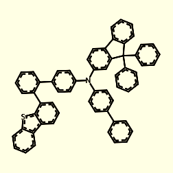 c1ccc(-c2ccc(N(c3ccc(-c4ccccc4-c4cccc5c4sc4ccccc45)cc3)c3ccc4c(c3)C(c3ccccc3)(c3ccccc3)c3ccccc3-4)cc2)cc1